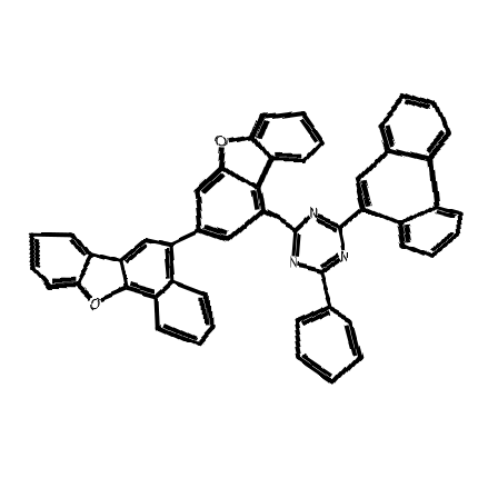 c1ccc(-c2nc(-c3cc4ccccc4c4ccccc34)nc(-c3cc(-c4cc5c6ccccc6oc5c5ccccc45)cc4oc5ccccc5c34)n2)cc1